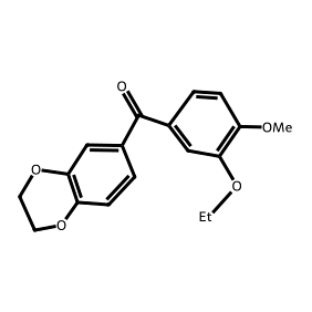 CCOc1cc(C(=O)c2ccc3c(c2)OCCO3)ccc1OC